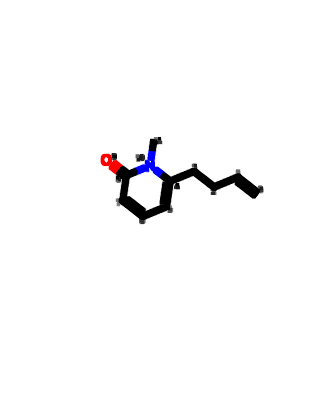 C=CCCc1cccc(=O)n1C